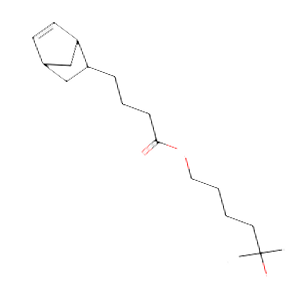 CC(C)(O)CCCCOC(=O)CCCC1CC2C=CC1C2